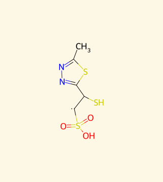 Cc1nnc(C(S)[CH]S(=O)(=O)O)s1